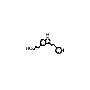 OCC=Cc1ccc2[nH]nc(C=Cc3cccnc3)c2c1